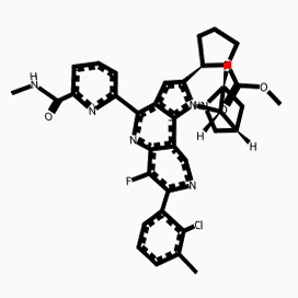 CNC(=O)c1cccc(-c2nc3c(F)c(-c4cccc(C)c4Cl)ncc3c3c2cc([C@H]2CCCN2C(=O)OC)n3[C@H]2[C@H]3CN[C@@H]2C3)n1